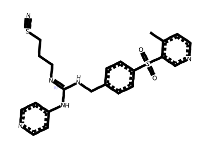 Cc1ccncc1S(=O)(=O)c1ccc(CN/C(=N\CCCS#N)Nc2ccncc2)cc1